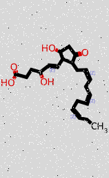 CC/C=C\C/C=C\C/C=C\CC1C(=O)CC(O)C1/C=C/C(O)CCC(=O)O